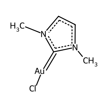 Cn1ccn(C)[c]1=[Au][Cl]